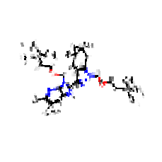 CCc1nc2c(cc1NC)nc(-c1nn(COCC[Si](C)(C)C)c3c1C[C@@H]1C[C@]1(C)C3)n2COCC[Si](C)(C)C